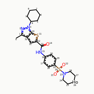 Cc1nn(C2CCCCC2)c2sc(C(=O)Nc3ccc(S(=O)(=O)N4C[CH2][Ho][CH2]C4)cc3)cc12